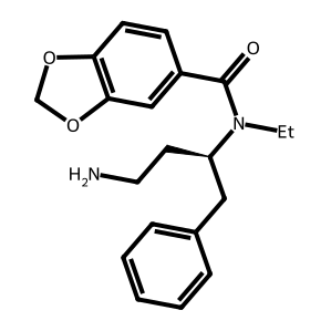 CCN(C(=O)c1ccc2c(c1)OCO2)[C@H](CCN)Cc1ccccc1